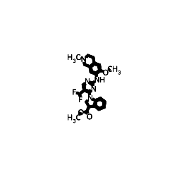 COC(=O)C1CN(c2nc(Nc3cc4c(cc3OC)CCN(C)C4)ncc2C(F)F)c2ccccc21